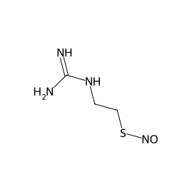 N=C(N)NCCSN=O